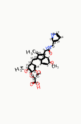 COc1ccc2c(c1)C(CC(=O)NCc1cccnc1)=C(C)/C2=C/c1cc(OC)c(OCC(=O)O)c(OC)c1